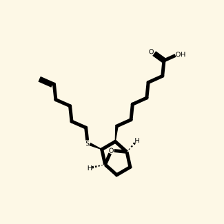 C=CCCCCS[C@H]1[C@@H](CCCCCCC(=O)O)[C@H]2CC[C@@H]1O2